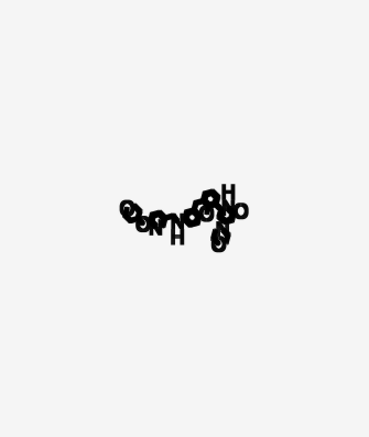 O=c1cc(N2CCOCC2)cc(-c2cccc3c2Oc2ccc(NCc4ccc(OC5CCOCC5)nc4)cc2C3)[nH]1